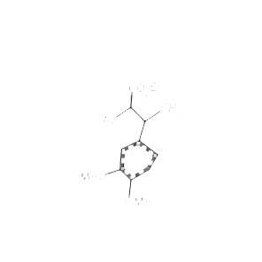 CCOC(=O)C(C(C)=O)C(C)c1ccc(OC)c(OC)c1